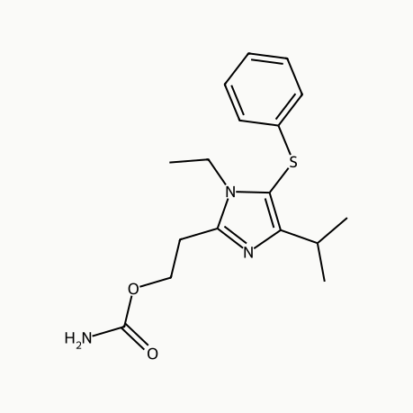 CCn1c(CCOC(N)=O)nc(C(C)C)c1Sc1ccccc1